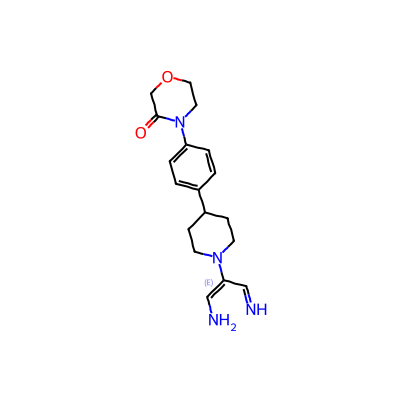 N=C/C(=C\N)N1CCC(c2ccc(N3CCOCC3=O)cc2)CC1